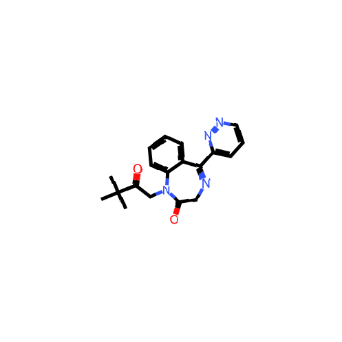 CC(C)(C)C(=O)CN1C(=O)CN=C(c2cccnn2)c2ccccc21